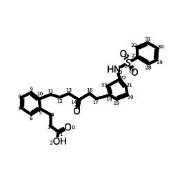 O=C(O)CCc1ccccc1CCCC(=O)CCc1cccc(NS(=O)(=O)c2ccccc2)c1